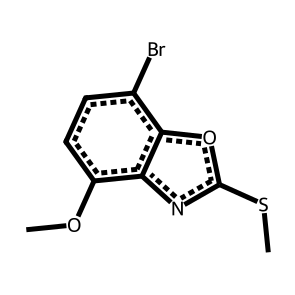 COc1ccc(Br)c2oc(SC)nc12